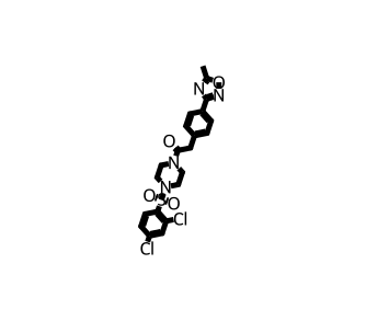 Cc1nc(-c2ccc(CC(=O)N3CCN(S(=O)(=O)c4ccc(Cl)cc4Cl)CC3)cc2)no1